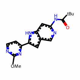 COc1nccc(-c2cc3cnc(NC(=O)C(C)(C)C)cc3[nH]2)n1